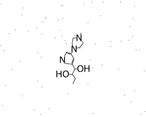 CCC(O)C(O)c1cncc(N2CCN(C)CC2)c1